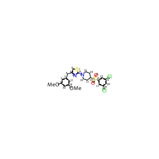 COc1cc(Cc2csc(N3CCC(S(=O)(=O)c4cc(Cl)cc(Cl)c4)CC3)n2)cc(OC)c1